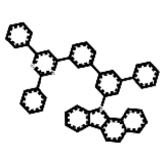 c1ccc(-c2cc(-c3cccc(-c4cc(-c5ccccc5)nc(-c5ccccc5)n4)c3)cc(-n3c4ccccc4c4ccc5ccccc5c43)c2)cc1